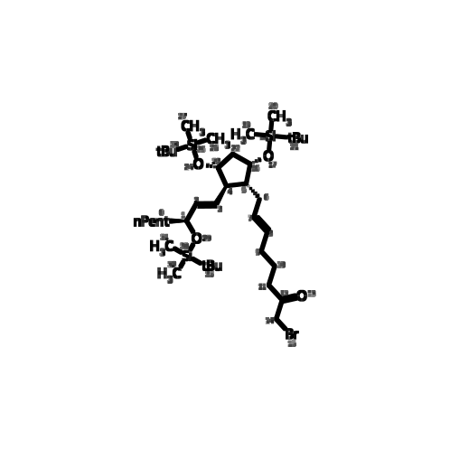 CCCCC[C@@H](C=C[C@@H]1[C@@H](CC=CCCCC(=O)CBr)[C@@H](O[Si](C)(C)C(C)(C)C)C[C@H]1O[Si](C)(C)C(C)(C)C)O[Si](C)(C)C(C)(C)C